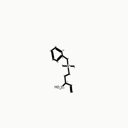 C=CC(CC[N+](C)(C)Cc1ccccc1)S(=O)(=O)O